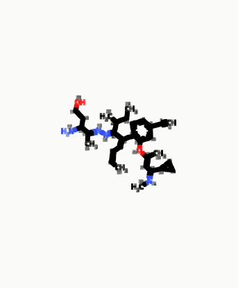 C#Cc1ccc(C(=C/C=C\C)/C(=N/N=C(\C)C(N)CCO)C(C)CC)c(O/C(C)=C/C(=N\C)C2CC2)c1